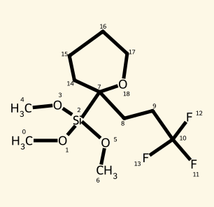 CO[Si](OC)(OC)C1(CCC(F)(F)F)CCCCO1